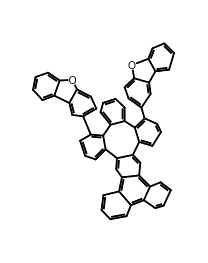 c1ccc2c(c1)-c1c(-c3ccc4oc5ccccc5c4c3)cccc1-c1cc3c4ccccc4c4ccccc4c3cc1-c1cccc(-c3ccc4oc5ccccc5c4c3)c1-2